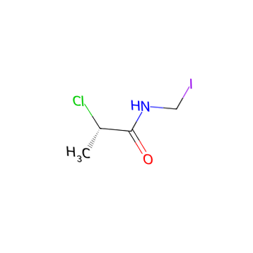 C[C@H](Cl)C(=O)NCI